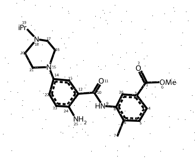 COC(=O)c1ccc(C)c(NC(=O)c2cc(N3CCN(C(C)C)CC3)ccc2N)c1